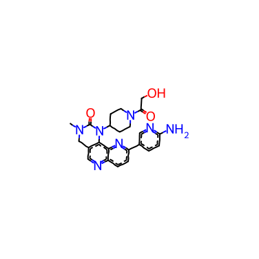 CN1Cc2cnc3ccc(-c4ccc(N)nc4)nc3c2N(C2CCN(C(=O)CO)CC2)C1=O